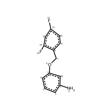 Nc1cccc(OCc2ccc(F)cc2F)c1